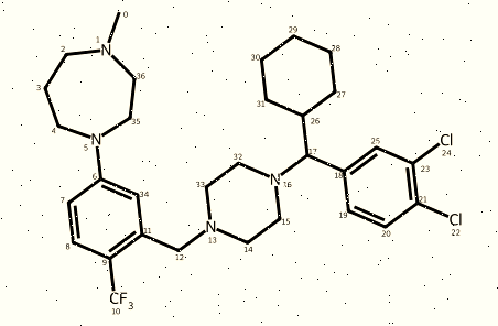 CN1CCCN(c2ccc(C(F)(F)F)c(CN3CCN(C(c4ccc(Cl)c(Cl)c4)C4CCCCC4)CC3)c2)CC1